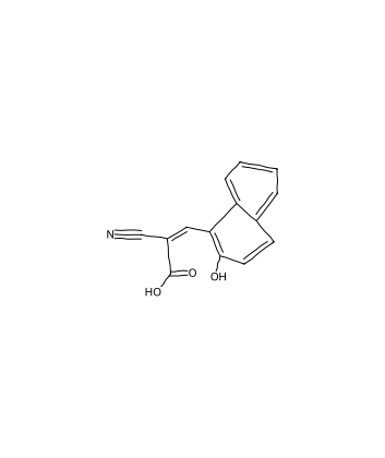 N#C/C(=C/c1c(O)ccc2ccccc12)C(=O)O